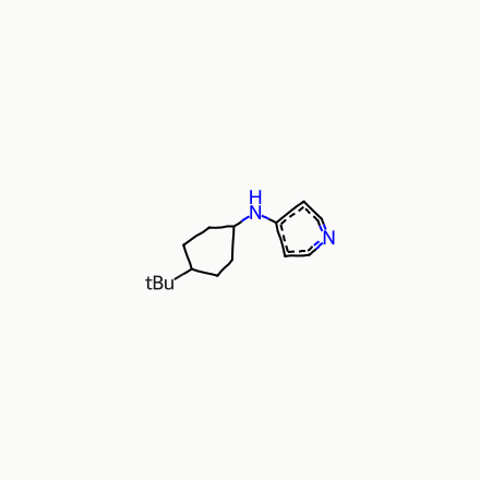 CC(C)(C)C1CCC(Nc2ccncc2)CC1